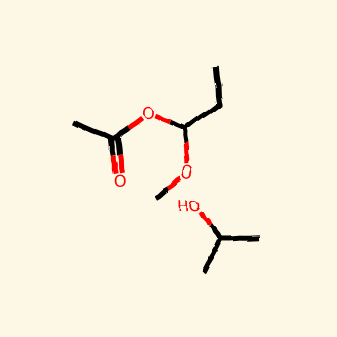 CC(C)O.CCC(OC)OC(C)=O